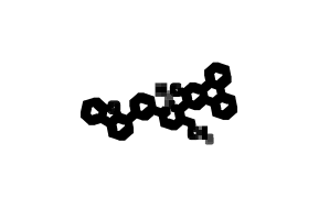 CCc1ccc(-c2cccc(-c3cccc4c3oc3ccccc34)c2)pc1-c1cc2c3ccccc3c3ccccc3c2cc1C